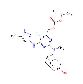 Cc1cc(Nc2nc(N(C)C3C4CC5CC3CC(O)(C5)C4)nc(COC(=O)OC(C)C)c2F)n[nH]1